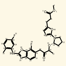 COC(=O)CCc1cnc(N2CCC[C@@H]2OC(C)C(=O)Cc2ccc3nc(Nc4cc(F)ccc4C)oc3c2F)o1